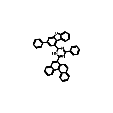 c1ccc(C2=NC(c3cc(-c4ccccc4)cc4oc5ccccc5c34)NC(c3cc4ccccc4c4c3ccc3ccccc34)=N2)cc1